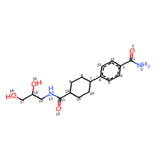 NC(=O)c1ccc(C2CCC(C(=O)NCC(O)CO)CC2)cc1